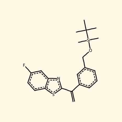 C=C(c1cccc(CO[Si](C)(C)C(C)(C)C)c1)c1nc2cc(F)ccc2s1